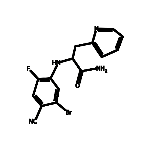 N#Cc1cc(F)c(NC(Cc2ccccn2)C(N)=O)cc1Br